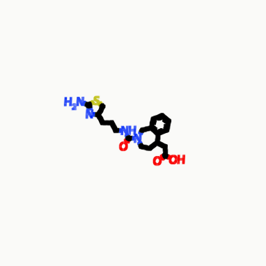 NC1=NC(CCCNC(=O)N2CCC(CC(=O)O)c3ccccc3C2)CS1